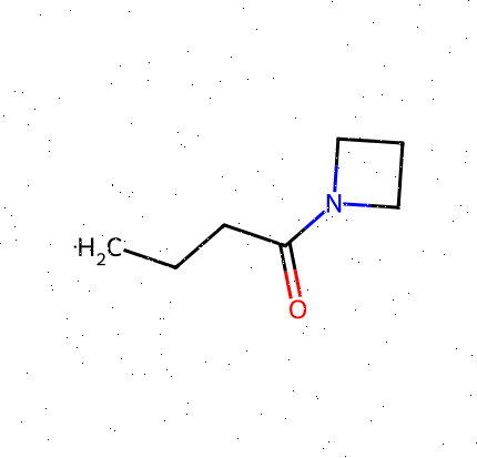 [CH2]CCC(=O)N1CCC1